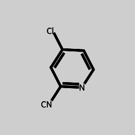 [C-]#[N+]c1cc(Cl)ccn1